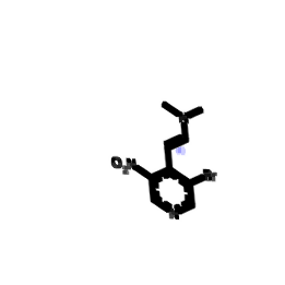 CN(C)/C=C/c1c(Br)cncc1[N+](=O)[O-]